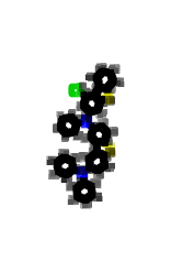 Clc1cc(N(c2ccccc2)c2ccc3sc4ccc(N(c5ccccc5)c5ccccc5)cc4c3c2)cc2sc3ccccc3c12